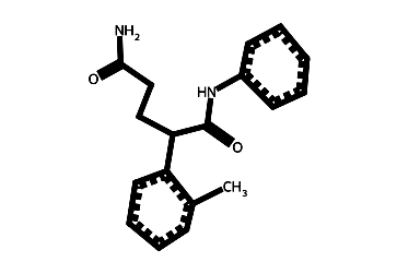 Cc1ccccc1C(CCC(N)=O)C(=O)Nc1ccccc1